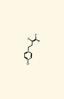 [O-][N+]1=CC=S(CCC(F)=C(F)F)C=C1